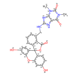 Cn1c(=O)c2[nH]c(NCc3cccc4c3C(=O)OC43c4ccc(O)cc4Oc4cc(O)ccc43)nc2n(C)c1=O